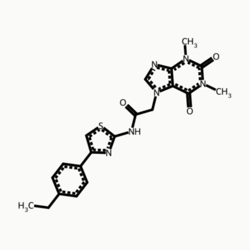 CCc1ccc(-c2csc(NC(=O)Cn3cnc4c3c(=O)n(C)c(=O)n4C)n2)cc1